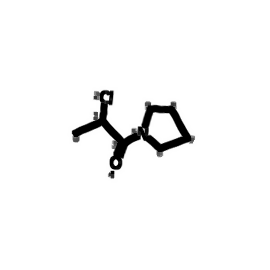 CC(Cl)C(=O)N1CCCC1